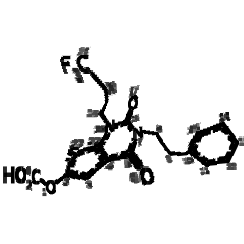 O=C(O)Oc1cc2c(=O)n(CCc3ccccc3)c(=O)n(CCC(F)(F)F)c2s1